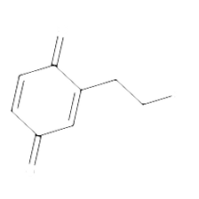 O=C1C=CC(=O)C(CCCl)=C1